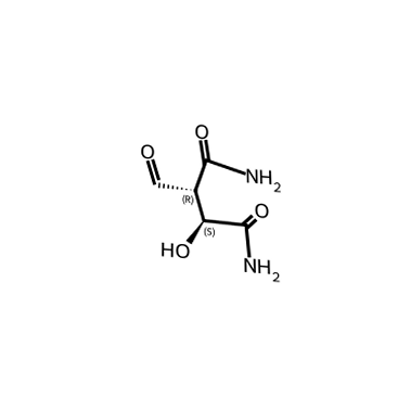 NC(=O)[C@@H](O)[C@H](C=O)C(N)=O